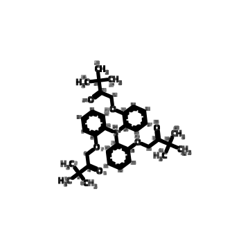 CC(C)(C)C(=O)COc1ccccc1[S+](c1ccccc1OCC(=O)C(C)(C)C)c1ccccc1OCC(=O)C(C)(C)C